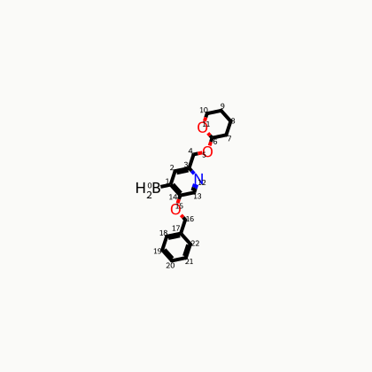 Bc1cc(COC2CCCCO2)ncc1OCc1ccccc1